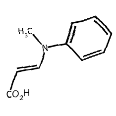 CN(C=CC(=O)O)c1ccccc1